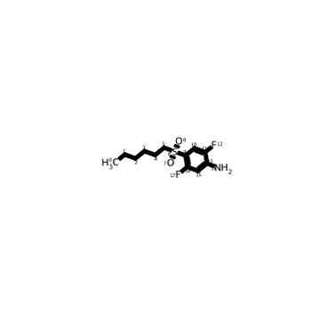 CCCCCCS(=O)(=O)c1cc(F)c(N)cc1F